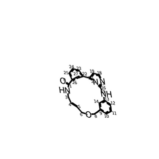 O=C1NC/C=C/COCc2cccc(c2)Nc2nccc(n2)-c2cccc1c2